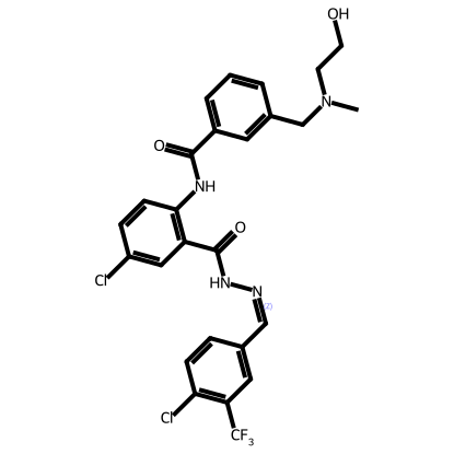 CN(CCO)Cc1cccc(C(=O)Nc2ccc(Cl)cc2C(=O)N/N=C\c2ccc(Cl)c(C(F)(F)F)c2)c1